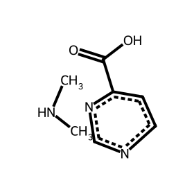 CNC.O=C(O)c1ccncn1